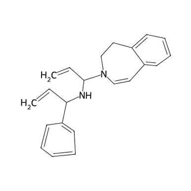 C=CC(NC(C=C)N1C=Cc2ccccc2CC1)c1ccccc1